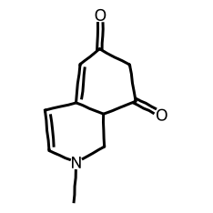 CN1C=CC2=CC(=O)CC(=O)C2C1